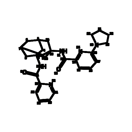 O=C(NC12CC3CC(C1)CC(NC(=O)c1cccc(N4CCCC4)n1)(C3)C2)c1ccccn1